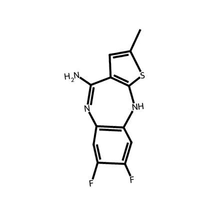 Cc1cc2c(s1)Nc1cc(F)c(F)cc1N=C2N